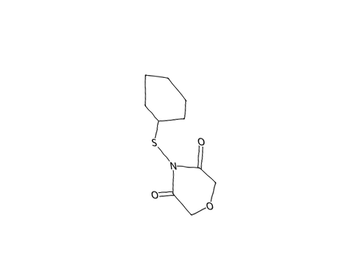 O=C1COCC(=O)N1SC1CCCCC1